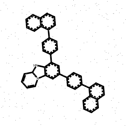 C1=CC2Nc3c(-c4ccc(-c5cccc6ccccc56)cc4)cc(-c4ccc(-c5cccc6ccccc56)cc4)cc3N2C=C1